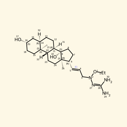 CCON(C/C=C/[C@H]1CC[C@]2(O)[C@@H]3CC[C@@H]4C[C@@H](O)CC[C@]4(C)[C@H]3CC[C@]12C)N=C(N)N